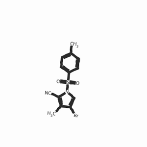 Cc1ccc(S(=O)(=O)n2cc(Br)c(C)c2C#N)cc1